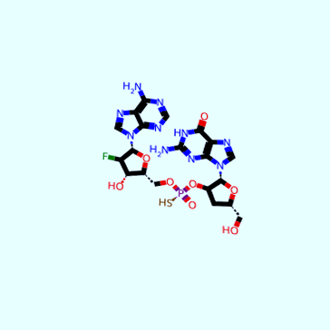 Nc1nc2c(ncn2[C@@H]2O[C@H](CO)CC2O[P@](=O)(S)OC[C@H]2O[C@@H](n3cnc4c(N)ncnc43)C(F)[C@H]2O)c(=O)[nH]1